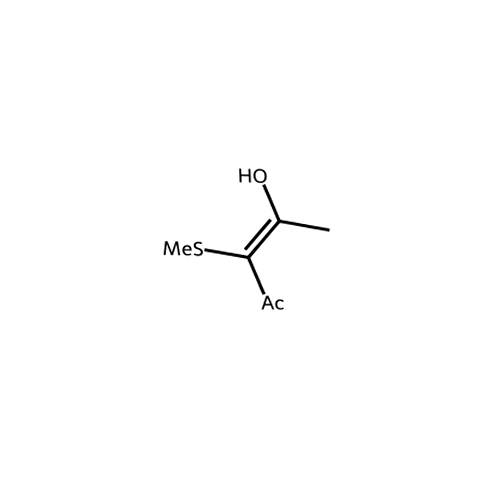 CSC(C(C)=O)=C(C)O